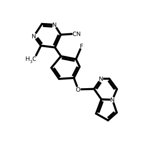 Cc1ncnc(C#N)c1-c1ccc(Oc2nccn3cccc23)cc1F